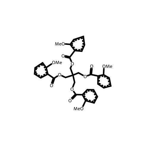 COc1ccccc1C(=O)OCC(COC(=O)c1ccccc1OC)(COC(=O)c1ccccc1OC)COC(=O)c1ccccc1OC